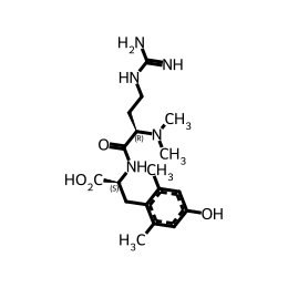 Cc1cc(O)cc(C)c1C[C@H](NC(=O)[C@@H](CCNC(=N)N)N(C)C)C(=O)O